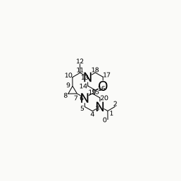 CC(C)N1CCN(C2CC2CC(C)N2CCOCC2)CC1